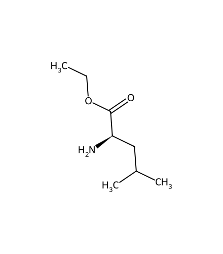 CCOC(=O)[C@H](N)CC(C)C